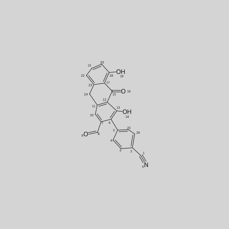 N#Cc1ccc(-c2c(C=O)cc3c(c2O)C(=O)c2c(O)cccc2C3)cc1